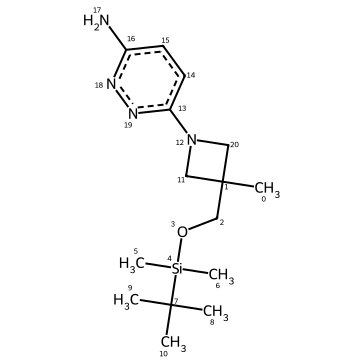 CC1(CO[Si](C)(C)C(C)(C)C)CN(c2ccc(N)nn2)C1